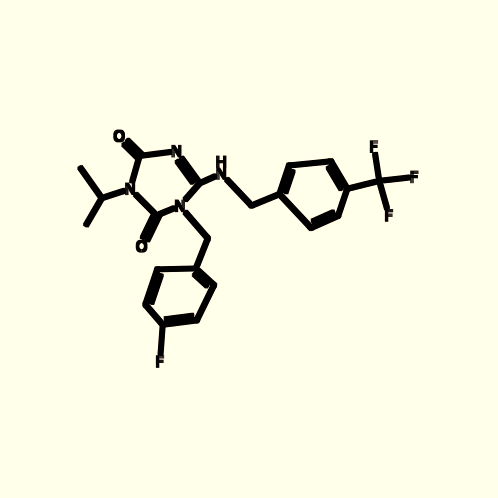 CC(C)n1c(=O)nc(NCc2ccc(C(F)(F)F)cc2)n(Cc2ccc(F)cc2)c1=O